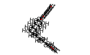 O=C(O)CCC(=O)O.O=C(O)CCC(=O)O.O=C(O)CCC(=O)O.O=C(O)CCC(=O)O.O=C(O)CCC(=O)O.O=C(O)CCC(=O)O.[K+].[K+].[K+].[K+].[K+].[K+].[K+].[K+].[K+].[K+].[K+].[K+].[K+].[K+].[K+].[K+].[K+].[K+].[K+].[K+].[K+].[K+].[K+].[K+].[K+].[K+]